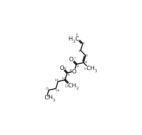 C=CCC=C(C)C(=O)OC(=O)C(=C)CCCC